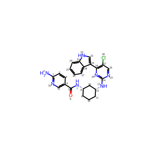 Nc1ccc(C(=O)N[C@H]2CCC[C@@H](Nc3ncc(Cl)c(-c4c[nH]c5ccccc45)n3)C2)cn1